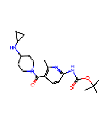 Cc1nc(NC(=O)OC(C)(C)C)ccc1C(=O)N1CCC(NC2CC2)CC1